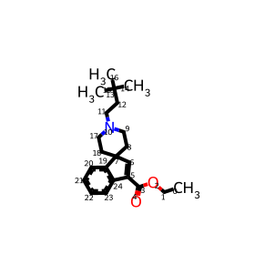 CCOC(=O)C1=CC2(CCN(CCC(C)(C)C)CC2)c2ccccc21